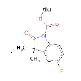 CC(C)(C)OC(=O)N1C(=O)C(C)(C)c2cc(F)ccc21